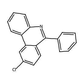 Clc1ccc2c(-c3ccccc3)nc3ccccc3c2c1